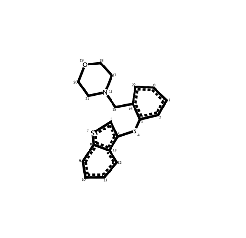 c1ccc(Sc2csc3ccccc23)c(CN2CCOCC2)c1